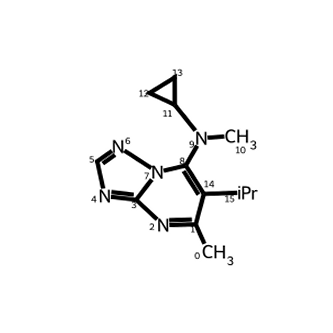 Cc1nc2ncnn2c(N(C)C2CC2)c1C(C)C